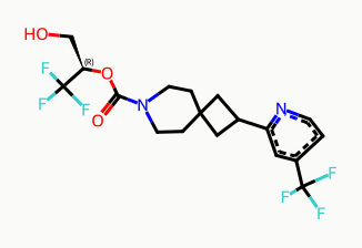 O=C(O[C@H](CO)C(F)(F)F)N1CCC2(CC1)CC(c1cc(C(F)(F)F)ccn1)C2